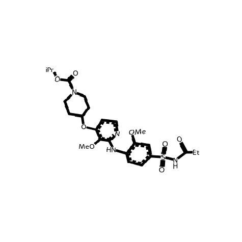 CCC(=O)NS(=O)(=O)c1ccc(Nc2nccc(OC3CCN(C(=O)OC(C)C)CC3)c2OC)c(OC)c1